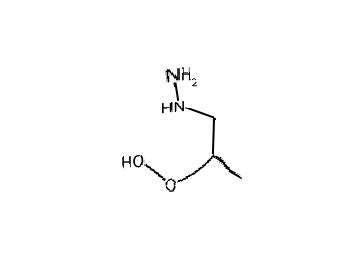 CC(CNN)OO